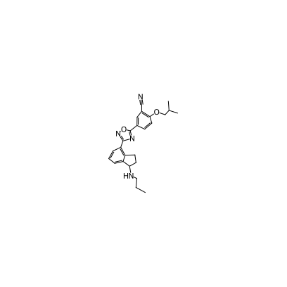 CCCNC1CCc2c(-c3noc(-c4ccc(OCC(C)C)c(C#N)c4)n3)cccc21